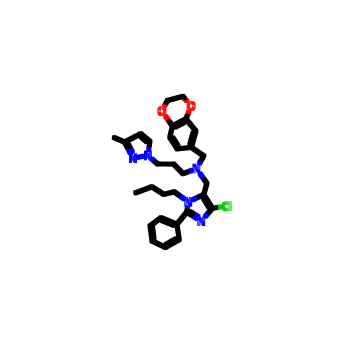 CCCCn1c(-c2ccccc2)nc(Cl)c1CN(CCCn1ccc(C)n1)Cc1ccc2c(c1)OCCO2